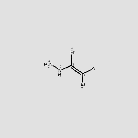 CCC(C)=C(CC)NN